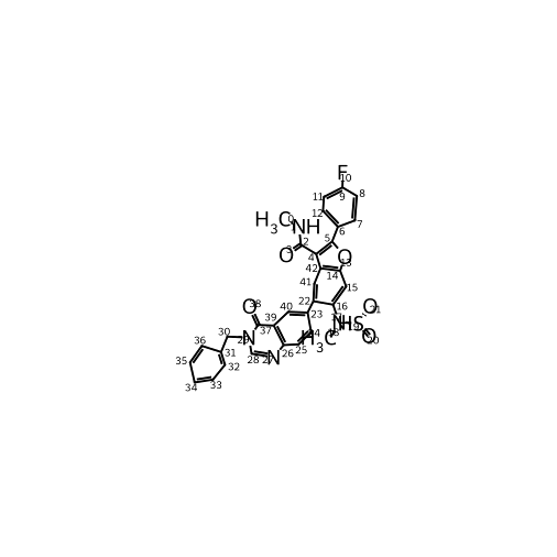 CNC(=O)c1c(-c2ccc(F)cc2)oc2cc(N(C)[SH](=O)=O)c(-c3ccc4ncn(Cc5ccccc5)c(=O)c4c3)cc12